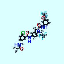 CC(C)C(=O)NCc1ccc(Cl)c(C(=O)Nc2ccc3c(c2)cc(C(=O)Nc2cccc(OC(F)(F)F)c2)n3CC(F)(F)F)c1